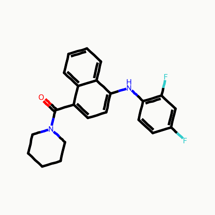 O=C(c1ccc(Nc2ccc(F)cc2F)c2ccccc12)N1CCCCC1